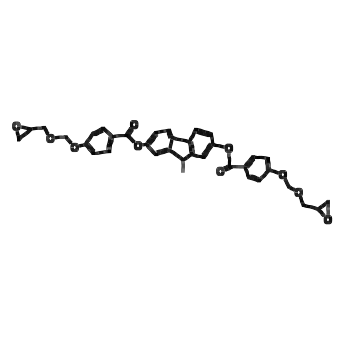 CC1c2cc(OC(=O)c3ccc(OCOCC4CO4)cc3)ccc2-c2ccc(OC(=O)c3ccc(OCOCC4CO4)cc3)cc21